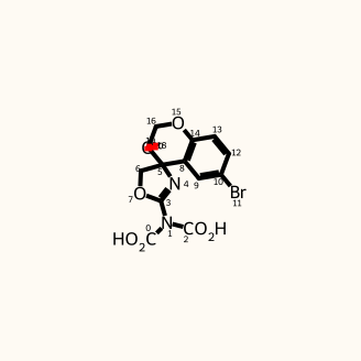 O=C(O)N(C(=O)O)C1=NC2(CO1)c1cc(Br)ccc1OCC21COC1